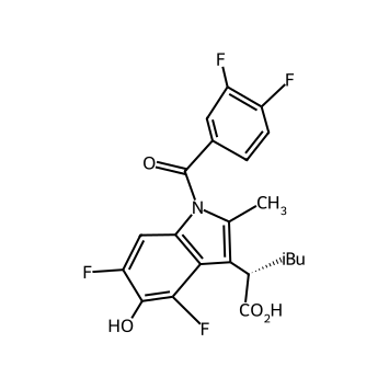 CCC(C)[C@H](C(=O)O)c1c(C)n(C(=O)c2ccc(F)c(F)c2)c2cc(F)c(O)c(F)c12